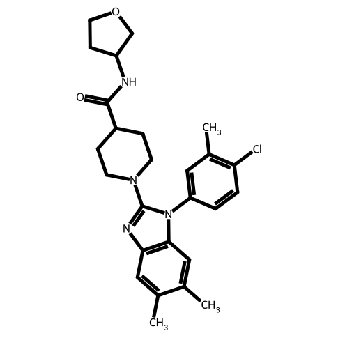 Cc1cc2nc(N3CCC(C(=O)NC4CCOC4)CC3)n(-c3ccc(Cl)c(C)c3)c2cc1C